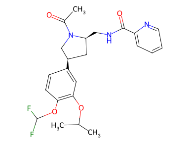 CC(=O)N1C[C@H](c2ccc(OC(F)F)c(OC(C)C)c2)C[C@@H]1CNC(=O)c1ccccn1